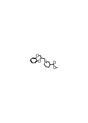 COC(=O)C1CCCN(CC2COc3ccccc3O2)C1